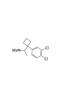 CNC(C)C1(c2ccc(Cl)c(Cl)c2)CCC1